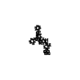 CC(C)(C)OC(=O)N1CC[C@H](Nc2ccc3c(c2)ncn3-c2ccc(OCc3ccccc3)nc2OCc2ccccc2)[C@@H](F)C1